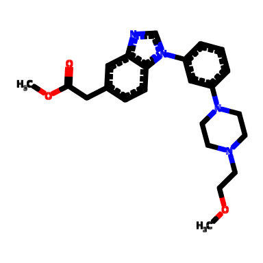 COCCN1CCN(c2cccc(-n3cnc4cc(CC(=O)OC)ccc43)c2)CC1